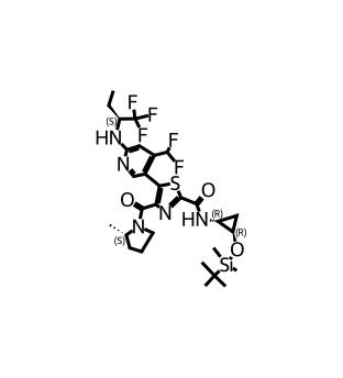 CC[C@H](Nc1cc(C(F)F)c(-c2sc(C(=O)N[C@@H]3C[C@H]3O[Si](C)(C)C(C)(C)C)nc2C(=O)N2CCC[C@@H]2C)cn1)C(F)(F)F